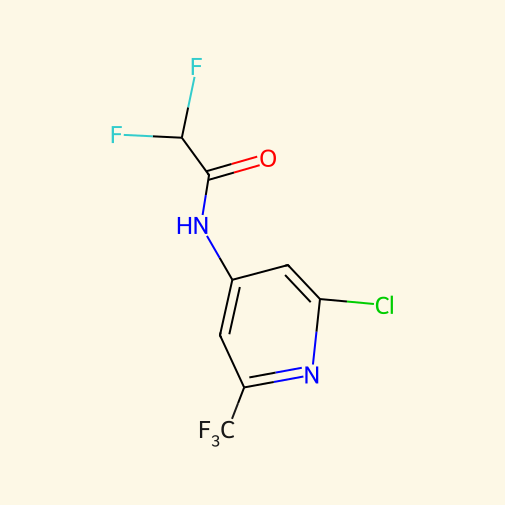 O=C(Nc1cc(Cl)nc(C(F)(F)F)c1)C(F)F